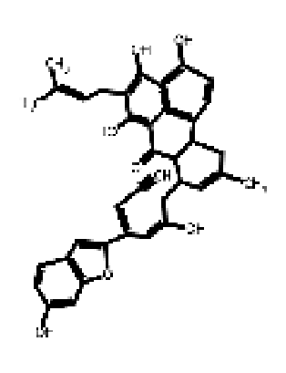 C#C/C=C(\C=C(\O)CC1C=C(C)CC(c2ccc(O)cc2)C1C(=O)c1ccc(O)c(CC=C(C)C)c1O)c1cc2ccc(O)cc2o1